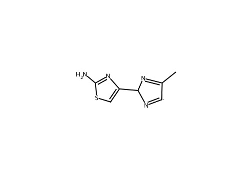 CC1=NC(c2csc(N)n2)N=[C]1